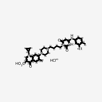 CCc1cc(Nc2cc(=O)n(CCCCN3CCN(c4cc5c(cc4F)c(=O)c(C(=O)O)cn5C4CC4)CC3)c(=O)[nH]2)ccc1C.Cl